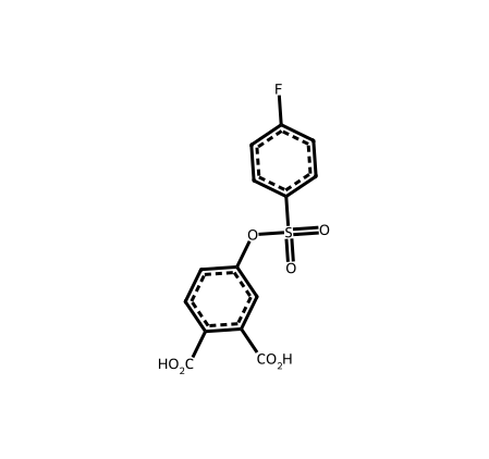 O=C(O)c1ccc(OS(=O)(=O)c2ccc(F)cc2)cc1C(=O)O